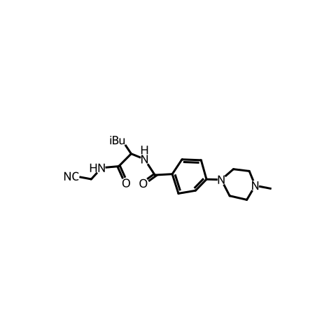 CCC(C)C(NC(=O)c1ccc(N2CCN(C)CC2)cc1)C(=O)NCC#N